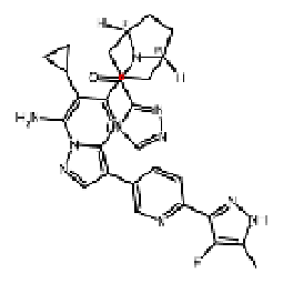 Cc1[nH]nc(-c2ccc(-c3cnn4c(N)c(C5CC5)c(C5C[C@H]6CC[C@@H](C5)N6C(=O)c5nnc[nH]5)nc34)cn2)c1F